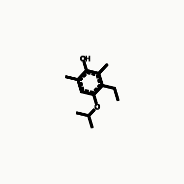 CCc1c(OC(C)C)cc(C)c(O)c1C